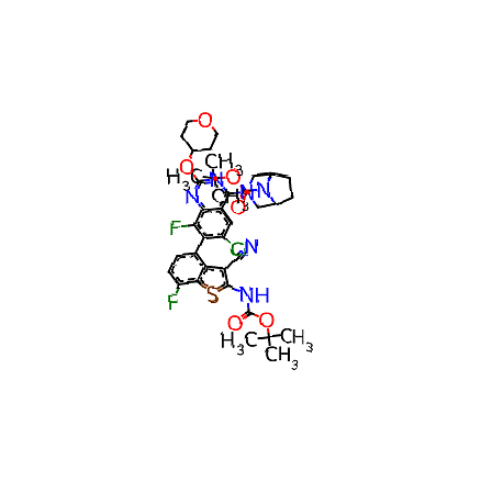 CC(C)(C)OC(=O)Nc1sc2c(F)ccc(-c3c(Cl)cc4c(N5CC6CCC(C5)N6C(=O)OC(C)(C)C)nc(OC5CCOCC5)nc4c3F)c2c1C#N